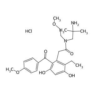 CCc1c(O)cc(O)c(C(=O)c2ccc(OC)cc2)c1CC(=O)N(CCOC)CC(C)(C)N.Cl